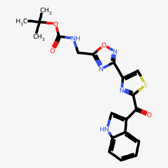 CC(C)(C)OC(=O)NCc1nc(-c2csc(C(=O)c3c[nH]c4ccccc34)n2)no1